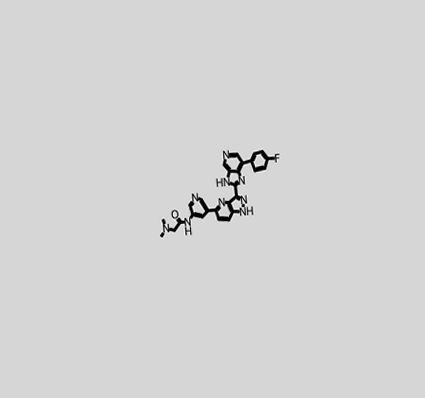 CN(C)CC(=O)Nc1cncc(-c2ccc3[nH]nc(-c4nc5c(-c6ccc(F)cc6)cncc5[nH]4)c3n2)c1